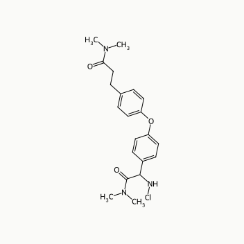 CN(C)C(=O)CCc1ccc(Oc2ccc(C(NCl)C(=O)N(C)C)cc2)cc1